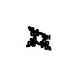 CCOC(=O)C(C)N1CCCN(C(C)C(=O)OCC)CCN(C(C)C(=O)OCC)CCCNCC1